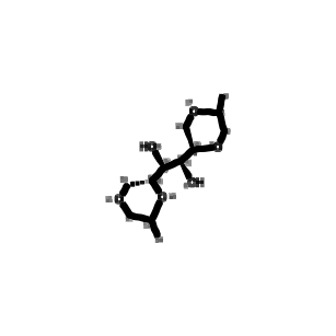 CC1CO[C@@H]([C@@H](O)[C@H](O)[C@H]2COCC(C)O2)CO1